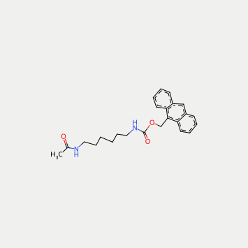 CC(=O)NCCCCCCNC(=O)OCc1c2ccccc2cc2ccccc12